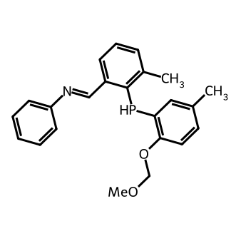 COCOc1ccc(C)cc1Pc1c(C)cccc1/C=N/c1ccccc1